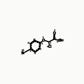 CC(C)(C)C(=O)C(Cl)Oc1ccc(Br)cc1